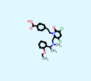 CCOc1ccccc1C(C)N(C)Cc1c(Cl)cc(Cl)c(=O)n1CCc1ccc(C(=O)O)cc1